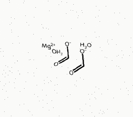 O.O.O=C[O-].O=C[O-].[Mg+2]